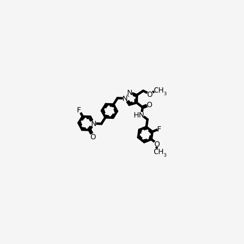 COCc1nn(Cc2ccc(Cn3cc(F)ccc3=O)cc2)cc1C(=O)NCc1cccc(OC)c1F